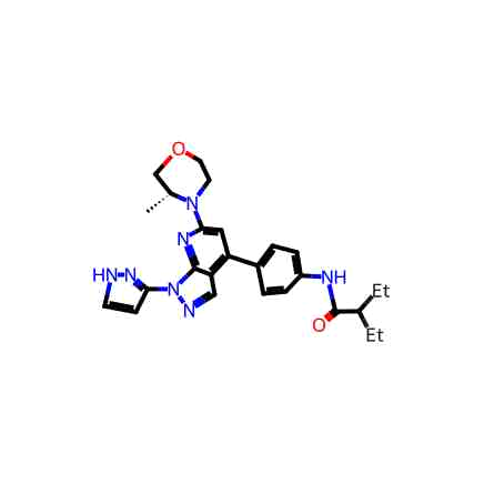 CCC(CC)C(=O)Nc1ccc(-c2cc(N3CCOC[C@H]3C)nc3c2cnn3-c2cc[nH]n2)cc1